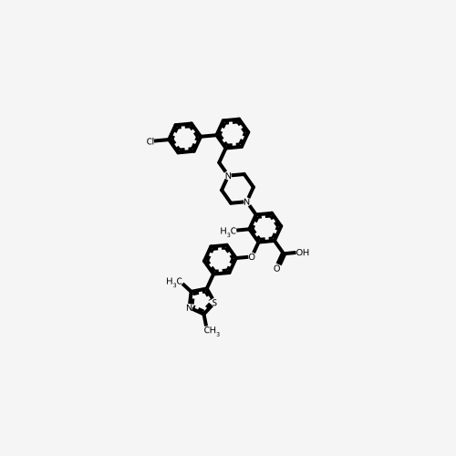 Cc1nc(C)c(-c2cccc(Oc3c(C(=O)O)ccc(N4CCN(Cc5ccccc5-c5ccc(Cl)cc5)CC4)c3C)c2)s1